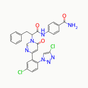 NC(=O)c1ccc(NC(=O)C(Cc2ccccc2)n2cnc(-c3cc(Cl)ccc3-n3cc(Cl)nn3)cc2=O)cc1